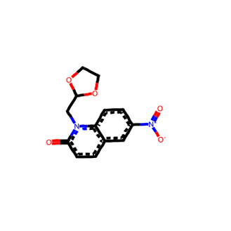 O=c1ccc2cc([N+](=O)[O-])ccc2n1CC1OCCO1